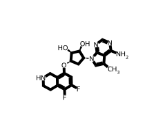 Cc1cn([C@@H]2C[C@H](Oc3cc(F)c(F)c4c3CNCC4)[C@@H](O)[C@H]2O)c2ncnc(N)c12